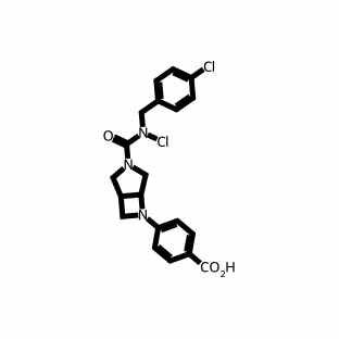 O=C(O)c1ccc(N2CC3CN(C(=O)N(Cl)Cc4ccc(Cl)cc4)CC32)cc1